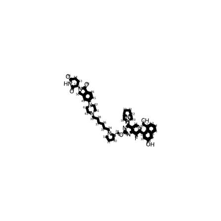 CCc1cccc2cc(O)cc(-c3ncc4c(N5CC6CCC(C5)N6)nc(OC[C@@H]5CCCN5CCCCCCN5CCN(c6ccc7c(c6)CN([C@H]6CCC(=O)NC6=O)C7=O)CC5)nc4c3F)c12